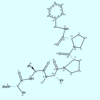 CN[C@H](C(=O)N[C@H](C(=O)N(C)[C@H](C(=O)N1CCC[C@H]1C(=O)N1CCC[C@H]1C(=O)NCc1ccccc1)C(C)C)C(C)C)C(C)C